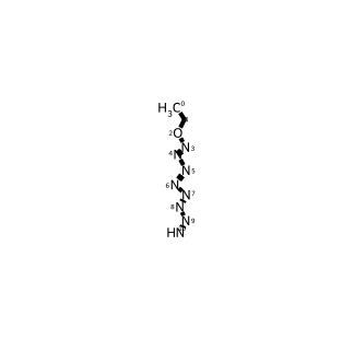 CCON=NN=NN=NN=N